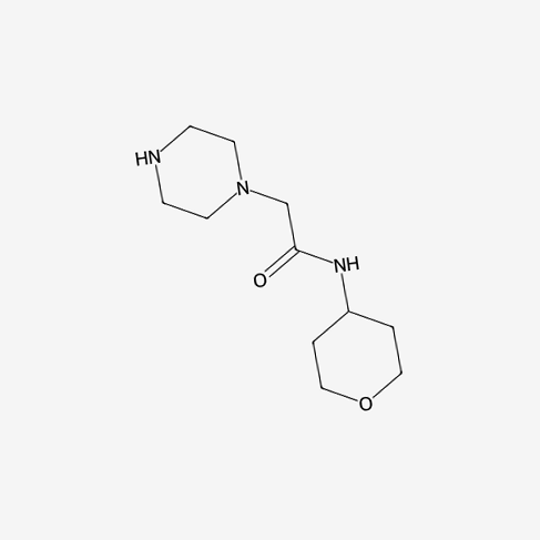 O=C(CN1CCNCC1)NC1CCOCC1